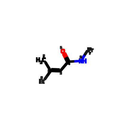 CC/C(C)=C/C(=O)NC(C)C